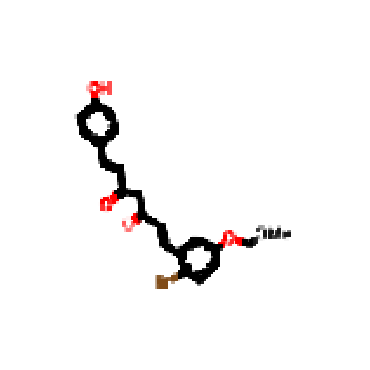 COCOc1ccc(Br)c(/C=C/C(=O)CC(=O)/C=C/c2ccc(O)cc2)c1